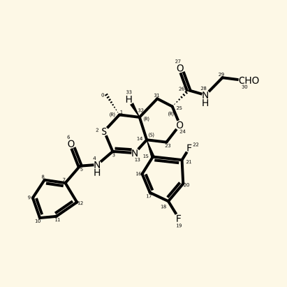 C[C@H]1SC(NC(=O)c2ccccc2)=N[C@@]2(c3ccc(F)cc3F)CO[C@@H](C(=O)NCC=O)C[C@@H]12